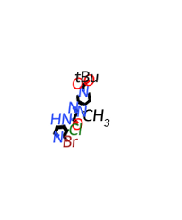 Cn1c(C(=O)Nc2ccnc(Br)c2Cl)nc2c1CCN(C(=O)OC(C)(C)C)C2